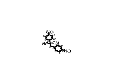 N#CC(C#N)(Cc1ccc(N=O)cc1)c1ccc(N=O)cc1